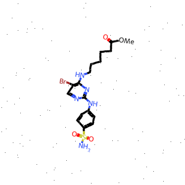 COC(=O)CCCCCNc1nc(Nc2ccc(S(N)(=O)=O)cc2)ncc1Br